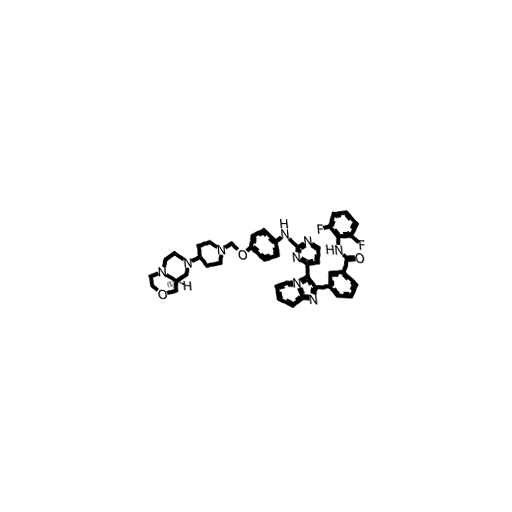 O=C(Nc1c(F)cccc1F)c1cccc(-c2nc3ccccn3c2-c2ccnc(Nc3ccc(OCN4CCC(N5CCN6CCOC[C@@H]6C5)CC4)cc3)n2)c1